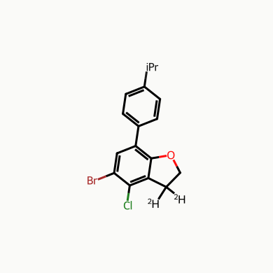 [2H]C1([2H])COc2c(-c3ccc(C(C)C)cc3)cc(Br)c(Cl)c21